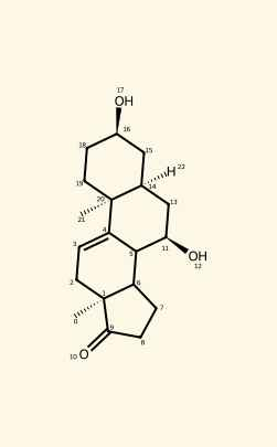 C[C@]12CC=C3C(C1CCC2=O)[C@H](O)C[C@@H]1C[C@H](O)CC[C@]31C